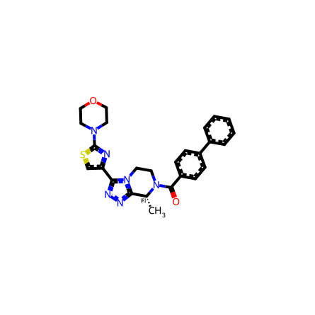 C[C@@H]1c2nnc(-c3csc(N4CCOCC4)n3)n2CCN1C(=O)c1ccc(-c2ccccc2)cc1